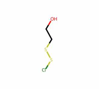 OCCSSCl